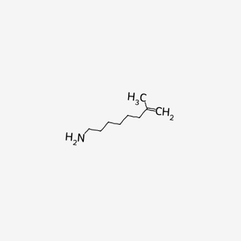 C=C(C)CCCCCCN